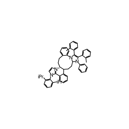 Cc1ccccc1C1=C(c2ccccc2C)N2c3ccccc3CCC3C(CCC2N1c1ccccc1)c1ccccc1-c1n(-c2c(C(C)C)cccc2C(C)C)cc[n+]13